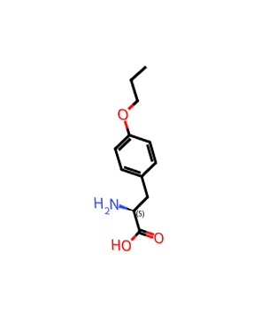 CCCOc1ccc(C[C@H](N)C(=O)O)cc1